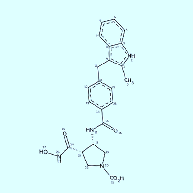 Cc1[nH]c2ccccc2c1Cc1ccc(C(=O)N[C@@H]2CN(C(=O)O)C[C@@H]2C(=O)NO)cc1